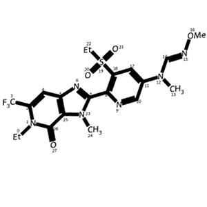 CCn1c(C(F)(F)F)cc2nc(-c3ncc(N(C)/C=N/OC)cc3S(=O)(=O)CC)n(C)c2c1=O